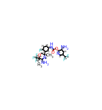 C[C@@]1(c2cc(NC(=O)Oc3ncc(C(F)F)cc3N)ccc2F)CO[C@@](C)(C(F)(F)F)C(N)=N1